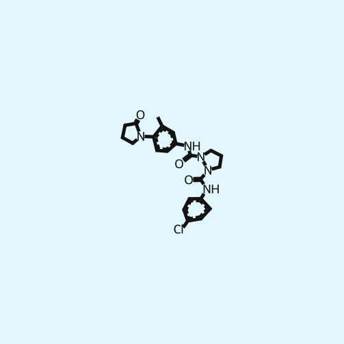 Cc1cc(NC(=O)N2CCCN2C(=O)Nc2ccc(Cl)cc2)ccc1N1CCCC1=O